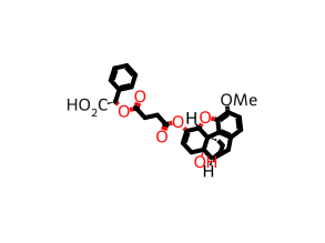 COc1ccc2c3c1O[C@@H]1C(OC(=O)CCC(=O)O[C@H](C(=O)O)c4ccccc4)=CC[C@]4(O)[C@@H](CCC[C@@]314)C2